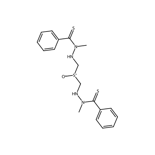 CN(NC[S+]([O-])CNN(C)C(=S)c1ccccc1)C(=S)c1ccccc1